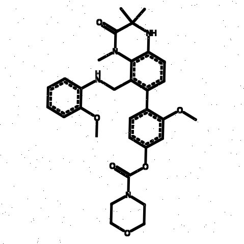 COc1ccccc1NCc1c(-c2ccc(OC(=O)N3CCOCC3)cc2OC)ccc2c1N(C)C(=O)C(C)(C)N2